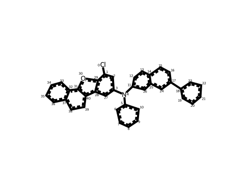 Clc1cc(N(c2ccccc2)c2ccc3ccc(-c4ccccc4)cc3c2)cc2c1oc1c3ccccc3ccc21